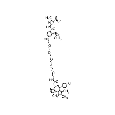 CC(=O)Nc1cc(NCCOCCOCCOCCOCCOCCNC(=O)C[C@@H]2N=C(c3ccc(Cl)cc3)c3c(sc(C)c3C)-n3c(C)nnc32)ccc1C(=O)Nc1nc(C)c([N+](=O)[O-])s1